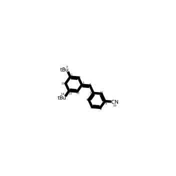 CC(C)(C)C1=CC(=Cc2cccc(C#N)c2)C=C(C(C)(C)C)C1